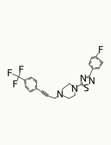 Fc1ccc(-c2nsc(N3CCN(CC#Cc4ccc(C(F)(F)F)cc4)CC3)n2)cc1